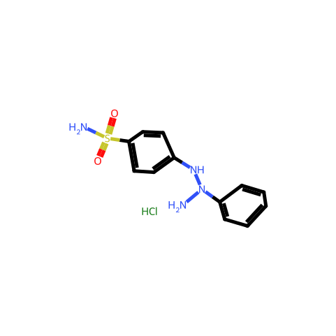 Cl.NN(Nc1ccc(S(N)(=O)=O)cc1)c1ccccc1